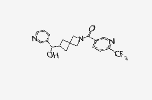 O=C(c1ccc(C(F)(F)F)nc1)N1CC2(CC(C(O)c3cccnc3)C2)C1